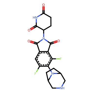 O=C1CCC(N2C(=O)c3cc(F)c(N4C5CCC4CNC5)c(F)c3C2=O)C(=O)N1